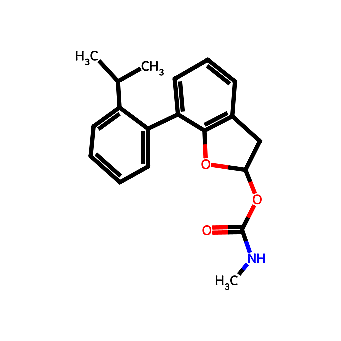 CNC(=O)OC1Cc2cccc(-c3ccccc3C(C)C)c2O1